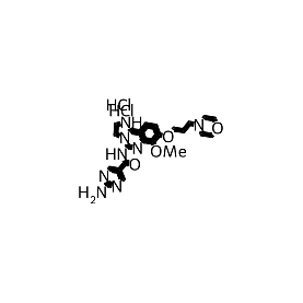 COc1c(OCCCN2CCOCC2)ccc2c1=NC(NC(=O)c1cnc(N)nc1)N1CCNC=21.Cl.Cl